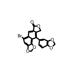 O=C1OCc2c1cc1c(Br)cc3c(c1c2-c1ccc2c(c1)OCO2)OCO3